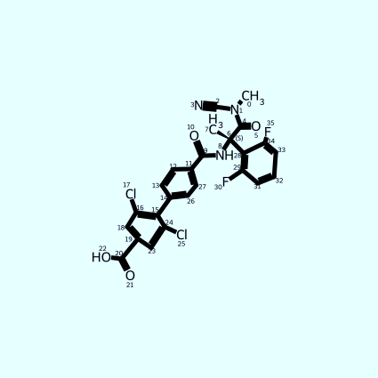 CN(C#N)C(=O)[C@@](C)(NC(=O)c1ccc(-c2c(Cl)cc(C(=O)O)cc2Cl)cc1)c1c(F)cccc1F